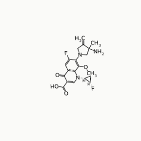 C=C1CN(c2c(F)cc3c(=O)c(C(=O)O)cn([C@@H]4C[C@@H]4F)c3c2OC)CC1(C)N